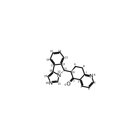 O=C1c2cccnc2CC[C@@H]1[C@H]1c2ccccc2-c2cncn21